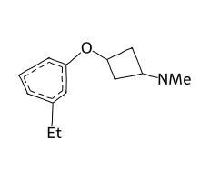 CCc1cccc(OC2CC(NC)C2)c1